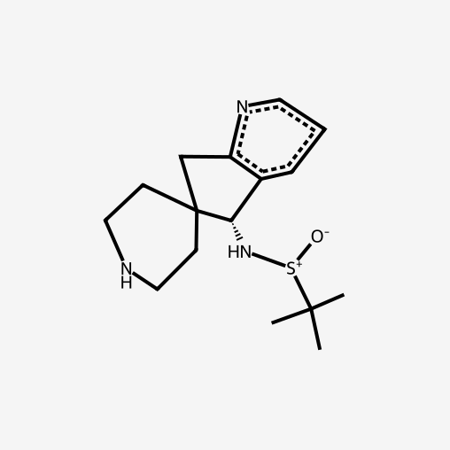 CC(C)(C)[S+]([O-])N[C@H]1c2cccnc2CC12CCNCC2